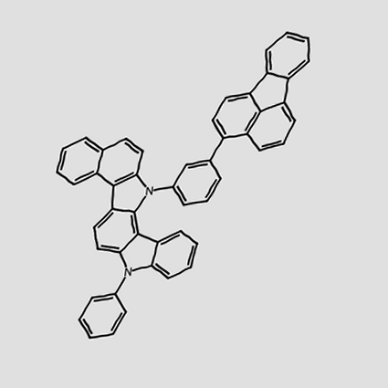 c1ccc(-n2c3ccccc3c3c2ccc2c4c5ccccc5ccc4n(-c4cccc(-c5ccc6c7c(cccc57)-c5ccccc5-6)c4)c23)cc1